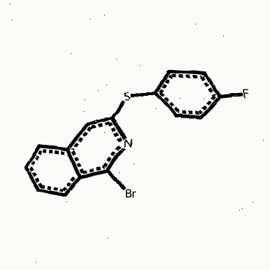 Fc1ccc(Sc2cc3ccccc3c(Br)n2)cc1